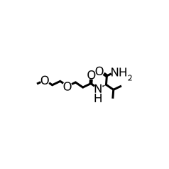 COCCOCCC(=O)N[C@H](C(N)=O)C(C)C